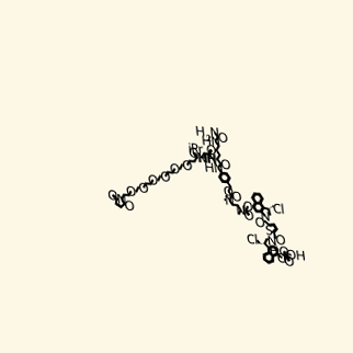 CC(C)[C@H](NC(=O)CCOCCOCCOCCOCCOCCOCCN1C(=O)C=CC1=O)C(=O)NC(CCCNC(N)=O)C(=O)Nc1ccc(COC(=O)N(C)CCN(C)C(=O)Oc2cc3c(c4ccccc24)[C@H](CCl)CN3C(=O)c2ccc(C(=O)N3C[C@@H](CCl)c4c3cc(OP(=O)(O)O)c3ccccc43)s2)cc1